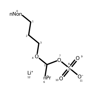 CCCCCCCCCCCCOC(CCC)OS(=O)(=O)[O-].[Li+]